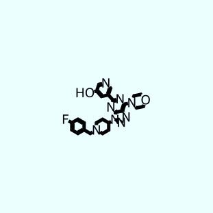 Oc1cncc(-c2nc(N3CCOCC3)c3nnn(C4CCN(Cc5ccc(F)cc5)CC4)c3n2)c1